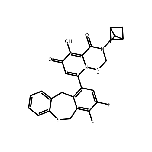 O=C1c2c(O)c(=O)cc(-c3cc(F)c(F)c4c3Cc3ccccc3SC4)n2NCN1C1C2CC1C2F